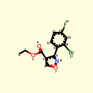 CCOC(=O)c1conc1-c1ccc(F)cc1Br